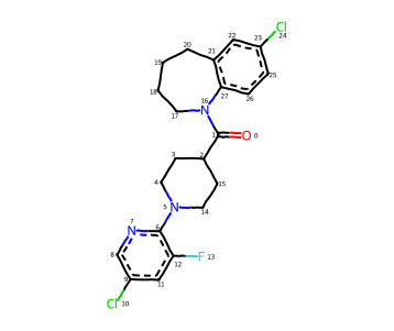 O=C(C1CCN(c2ncc(Cl)cc2F)CC1)N1CCCCc2cc(Cl)ccc21